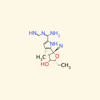 CC[C@H]1O[C@@](C#N)(c2ccc(/C(N)=N\C=N)[nH]2)[C@](C)(F)[C@@H]1O